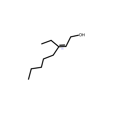 CCCCC/C(=C/CO)CC